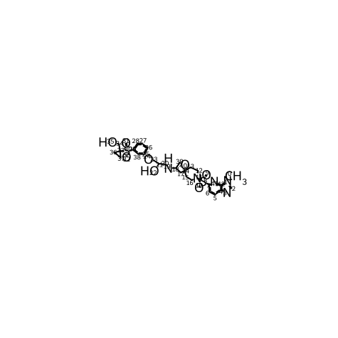 Cn1cnc2ccc(S(=O)(=O)N3CCC4(CC3)CC(NCC(O)COc3cccc(S(=O)(=O)C5(CO)CC5)c3)CO4)nc21